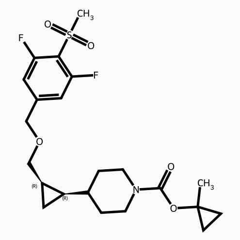 CC1(OC(=O)N2CCC([C@H]3C[C@H]3COCc3cc(F)c(S(C)(=O)=O)c(F)c3)CC2)CC1